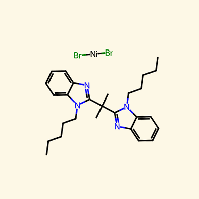 CCCCCn1c(C(C)(C)c2nc3ccccc3n2CCCCC)nc2ccccc21.[Br][Ni][Br]